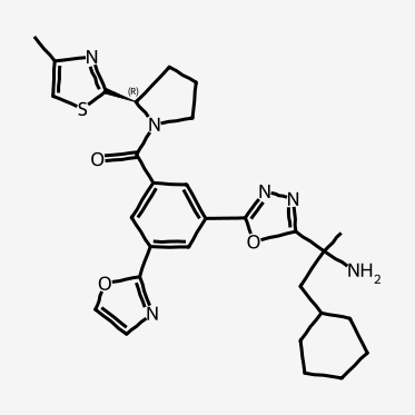 Cc1csc([C@H]2CCCN2C(=O)c2cc(-c3ncco3)cc(-c3nnc(C(C)(N)CC4CCCCC4)o3)c2)n1